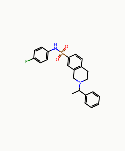 CC(c1ccccc1)N1CCc2ccc(S(=O)(=O)Nc3ccc(F)cc3)cc2C1